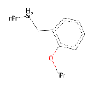 CCC[SiH2]Cc1ccccc1OC(C)C